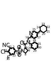 N#Cc1cc(S(=O)(=O)N2CC[C@@H]2C(=O)N(Cc2ccc(C3CCCCC3)cn2)c2ccccc2)cc(F)c1Cl